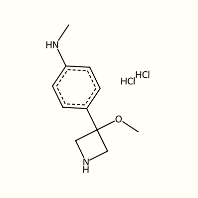 CNc1ccc(C2(OC)CNC2)cc1.Cl.Cl